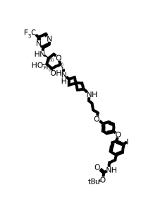 CC(C)(C)OC(=O)NCCc1ccc(Oc2ccc(OCCCCNC3CC4(C3)CC(NC[C@H]3OC[C@H](Nc5cncc(C(F)(F)F)n5)[C@@H](O)[C@H]3O)C4)cc2)c(I)c1